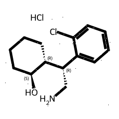 Cl.NC[C@@H](c1ccccc1Cl)[C@H]1CCCC[C@@H]1O